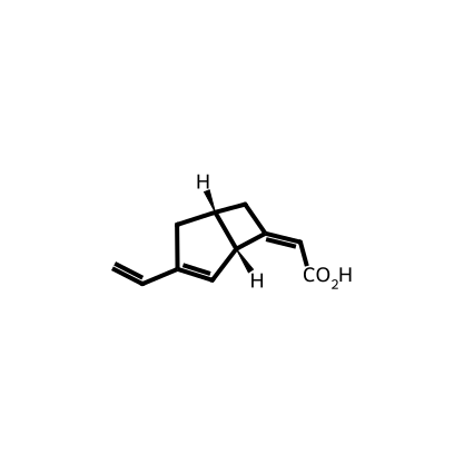 C=CC1=C[C@H]2/C(=C\C(=O)O)C[C@H]2C1